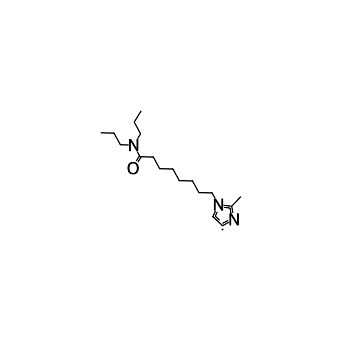 CCCN(CCC)C(=O)CCCCCCCn1c[c]nc1C